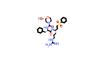 Br.N=C(N)NCCC[C@@H](/C=C/S(=O)(=O)c1ccccc1)NC(=O)[C@H](Cc1ccccc1)NC(=O)N1CCOCC1